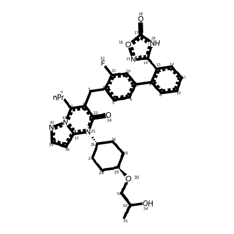 CCCc1c(Cc2ccc(-c3ccccc3-c3noc(=O)[nH]3)cc2F)c(=O)n([C@H]2CC[C@H](OCC(C)O)CC2)c2ccnn12